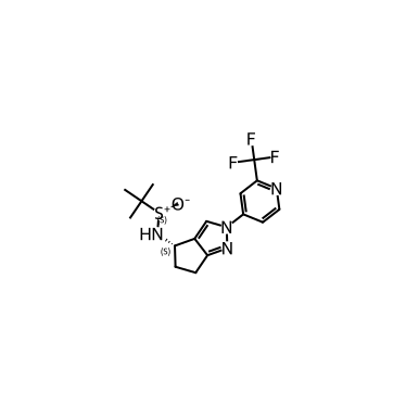 CC(C)(C)[S@@+]([O-])N[C@H]1CCc2nn(-c3ccnc(C(F)(F)F)c3)cc21